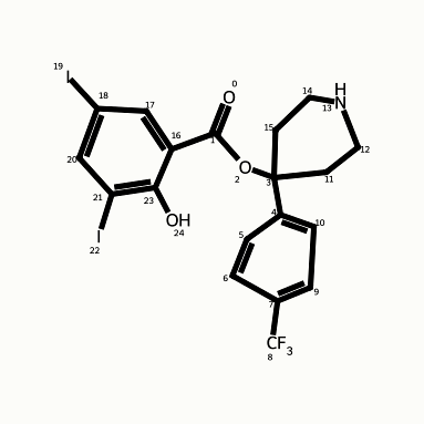 O=C(OC1(c2ccc(C(F)(F)F)cc2)CCNCC1)c1cc(I)cc(I)c1O